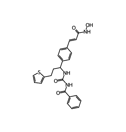 O=C(C=Cc1ccc(C(CCc2cccs2)NC(=O)NC(=O)c2ccccc2)cc1)NO